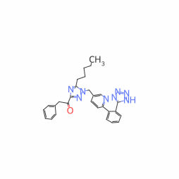 CCCCCc1nc(C(=O)Cc2ccccc2)nn1Cc1ccc(-c2ccccc2-c2nnn[nH]2)nc1